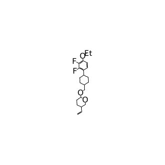 C=CC1CCC(OCC2CCC(c3ccc(OCC)c(F)c3F)CC2)OC1